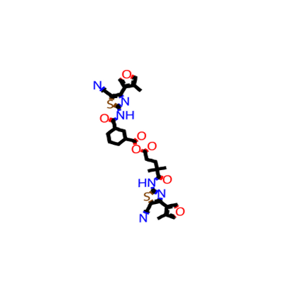 Cc1cocc1-c1nc(NC(=O)C2CCCC(C(=O)OC(=O)CCC(C)(C)C(=O)Nc3nc(-c4cocc4C)c(C#N)s3)C2)sc1C#N